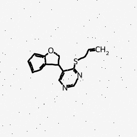 C=CCSc1ncncc1C1COc2ccccc21